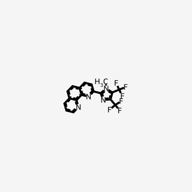 Cn1c(-c2ccc3ccc4cccnc4c3n2)nc(C(F)(F)F)c1C(F)(F)F